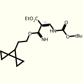 CCOC(=O)/C(=C/NC(=O)OC(C)(C)C)C(=N)OCCC1C2(CC2)C12CC2